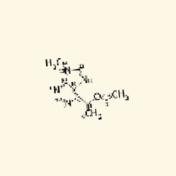 C=C(OCC)c1ncnc2c1ncn2C